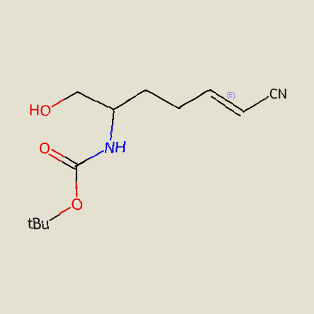 CC(C)(C)OC(=O)NC(CO)CC/C=C/C#N